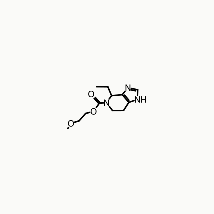 CCC1c2nc[nH]c2CCN1C(=O)OCCOC